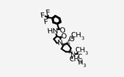 COC[C@@H]1C[C@H](N(C)C(C)C)CC[C@@H]1N1CCC(NC(=O)c2cccc(C(F)(F)F)c2)C1=O